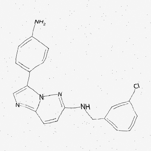 Nc1ccc(-c2cnc3ccc(NCc4cccc(Cl)c4)nn23)cc1